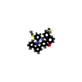 CSc1ccc(N2c3ccc(SC)cc3B3c4c(cc5oc6ccccc6c5c42)-c2cccc4c5ccccc5n3c24)cc1